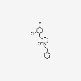 O=C1C(Cc2ccc(F)cc2Cl)CCCN1CCc1ccccc1